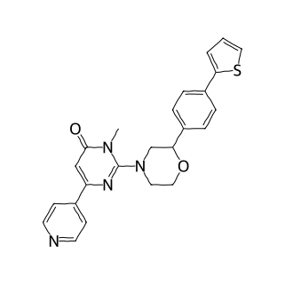 Cn1c(N2CCOC(c3ccc(-c4cccs4)cc3)C2)nc(-c2ccncc2)cc1=O